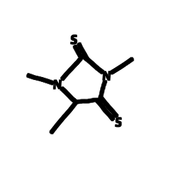 CC1C(=S)N(C)C(=S)N1C